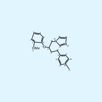 COc1ccccc1OC(CCc1ccc(C)cc1)Cn1ccnc1